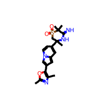 Cc1nc(C)c(-c2cc3cc(C4(C)CS(=O)(=O)C(C)(C)C(=N)N4)ccn3c2)o1